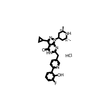 C[C@@H]1CC(n2nc(C3CC3)c3c(=O)[nH]c(Cc4ccc(-c5cccc(F)c5O)nc4)nc32)C[C@@H](C)N1.Cl